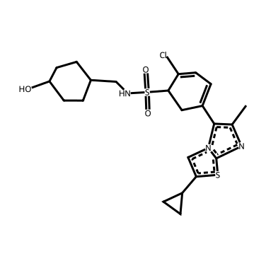 Cc1nc2sc(C3CC3)cn2c1C1=CC=C(Cl)C(S(=O)(=O)NCC2CCC(O)CC2)C1